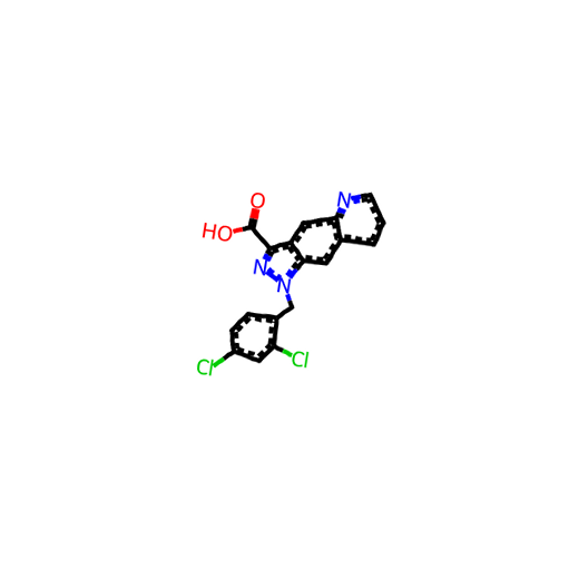 O=C(O)c1nn(Cc2ccc(Cl)cc2Cl)c2cc3cccnc3cc12